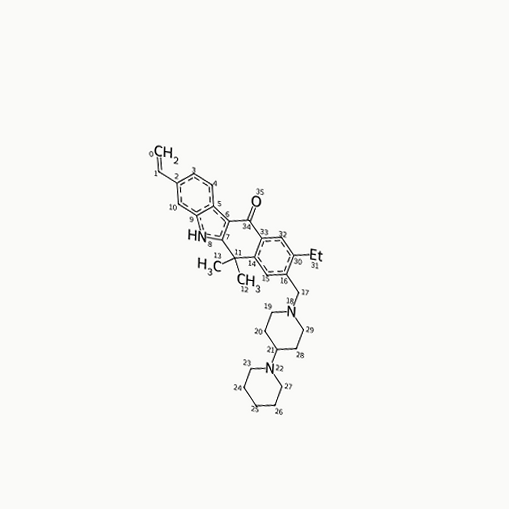 C=Cc1ccc2c3c([nH]c2c1)C(C)(C)c1cc(CN2CCC(N4CCCCC4)CC2)c(CC)cc1C3=O